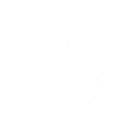 CN(C)c1ccc(CC2C(=O)OC(CC3c4ccccc4-c4ccccc43)N2C(=O)O)cn1